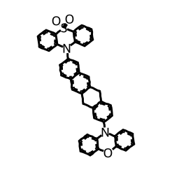 O=S1(=O)c2ccccc2N(c2ccc3cc4c(cc3c2)Cc2ccc(N3c5ccccc5Oc5ccccc53)cc2C4)c2ccccc21